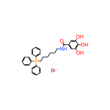 O=C(NCCCCCC[P+](c1ccccc1)(c1ccccc1)c1ccccc1)c1cc(O)c(O)c(O)c1.[Br-]